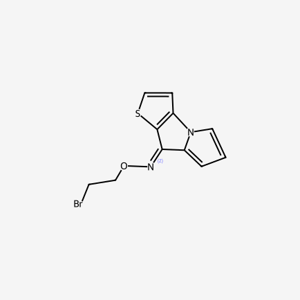 BrCCO/N=C1\c2sccc2-n2cccc21